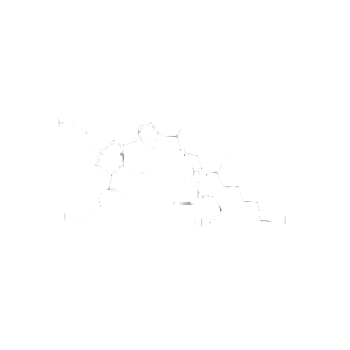 CCCCCC(C(=O)NCNC(=O)c1ccc(-c2cc(OCC)cc(C(=O)OCC)c2O)o1)[C@@H](CC)N(O)C=O